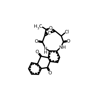 Cc1oc2cc1C(=O)Nc1c(ccc3c1C(=O)c1ccccc1C3=O)NC(=O)C2Cl